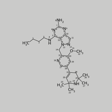 CCCCNc1nc(N)nc2cnn(Cc3ncc(C4=CC(C)(C)NC(C)(C)C4)cc3OC)c12